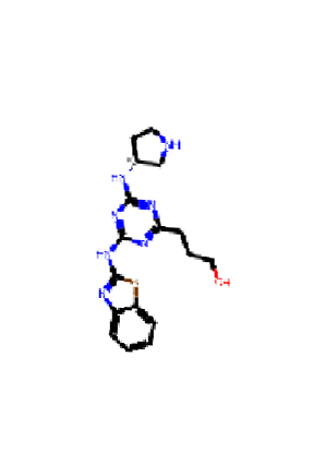 OCCCc1nc(Nc2nc3ccccc3s2)nc(N[C@@H]2CCNC2)n1